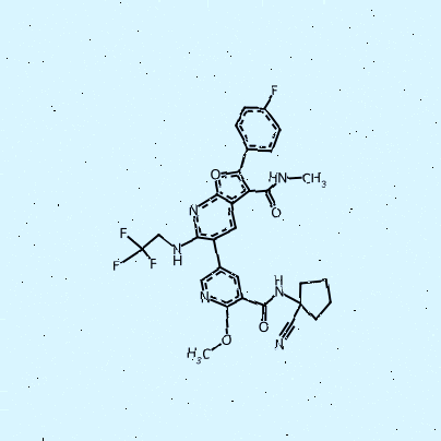 CNC(=O)c1c(-c2ccc(F)cc2)oc2nc(NCC(F)(F)F)c(-c3cnc(OC)c(C(=O)NC4(C#N)CCCC4)c3)cc12